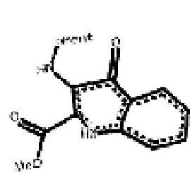 CCCCCNc1c(C(=O)OC)[nH]c2ccccc2c1=O